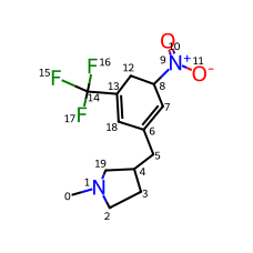 CN1CCC(CC2=CC([N+](=O)[O-])CC(C(F)(F)F)=C2)C1